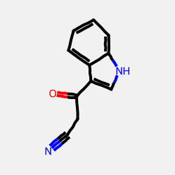 N#CCC(=O)c1c[nH]c2ccccc12